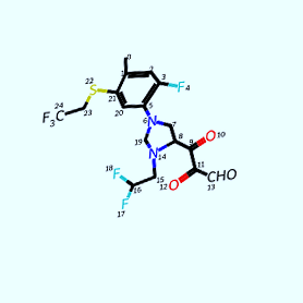 Cc1cc(F)c(N2CC(C(=O)C(=O)C=O)N(CC(F)F)C2)cc1SCC(F)(F)F